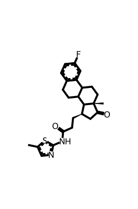 Cc1cnc(NC(=O)CC[C@@H]2CC(=O)[C@@]3(C)CCC4c5cc(F)ccc5CCC4C23)s1